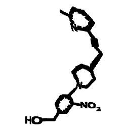 Cc1cccc(C#CC=C2CCN(c3ccc(CO)cc3[N+](=O)[O-])CC2)n1